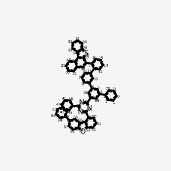 c1ccc(-c2cc(-c3cccc(-c4ccccc4-c4cc5ccccc5c5c4sc4ccccc45)c3)cc(-c3nc(-c4ccccc4)nc(-c4cccc5oc6ccc(-c7ccccc7)cc6c45)n3)c2)cc1